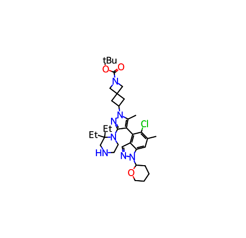 CCC1(CC)CNCCN1c1nn(C2CC3(C2)CN(C(=O)OC(C)(C)C)C3)c(C)c1-c1c(Cl)c(C)cc2c1cnn2C1CCCCO1